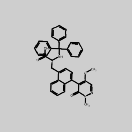 COc1cnn(C)c(=O)c1-c1ccc(C[C@H](NC(c2ccccc2)(c2ccccc2)c2ccccc2)C(=O)O)c2ccccc12